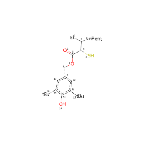 CCCCCC(CC)C(S)C(=O)OCc1cc(C(C)(C)C)c(O)c(C(C)(C)C)c1